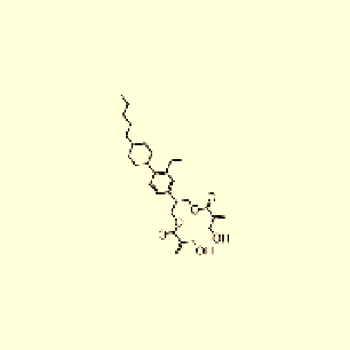 C=C(CO)C(=O)OCC(COC(=O)C(=C)CO)c1ccc(C2CCC(CCCCC)CC2)c(CC)c1